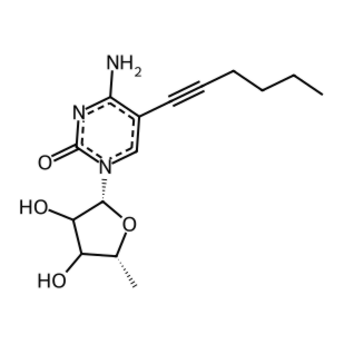 CCCCC#Cc1cn([C@@H]2O[C@H](C)C(O)C2O)c(=O)nc1N